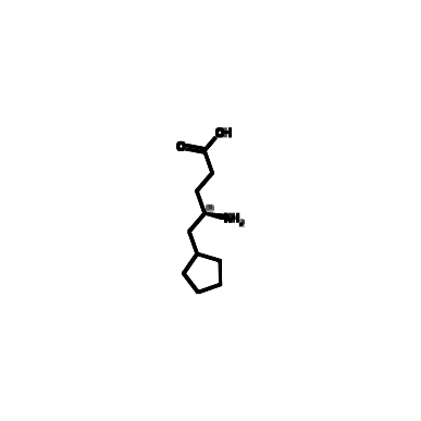 N[C@H](CCC(=O)O)CC1CCCC1